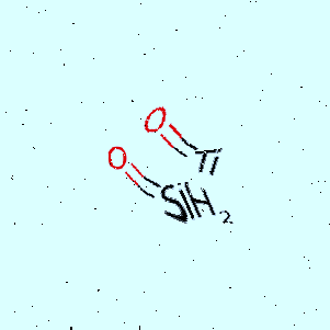 O=[SiH2].[O]=[Ti]